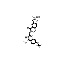 C[C@H](NC(=O)Cn1nnc2ccc(OS(=O)(=O)O)cc2c1=O)c1ccc(OC(F)(F)F)cc1